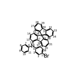 Brc1ccc(N(c2ccccc2)c2cccc3c2-c2ccccc2C32c3ccccc3-c3ccccc32)cc1